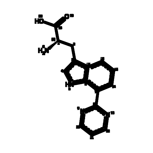 N[C@@H](Cc1c[nH]c2c(-c3ncccn3)cccc12)C(=O)O